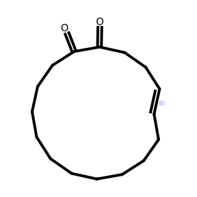 O=C1CC/C=C/CCCCCCCCCCC1=O